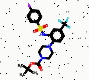 CC(C)(C)OC(=O)N1CCN(c2ccc(C(F)(F)F)cc2NS(=O)(=O)c2ccc(I)cc2)CC1